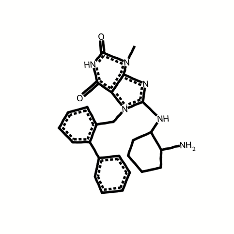 Cn1c(=O)[nH]c(=O)c2c1nc(NC1CCCCC1N)n2Cc1ccccc1-c1ccccc1